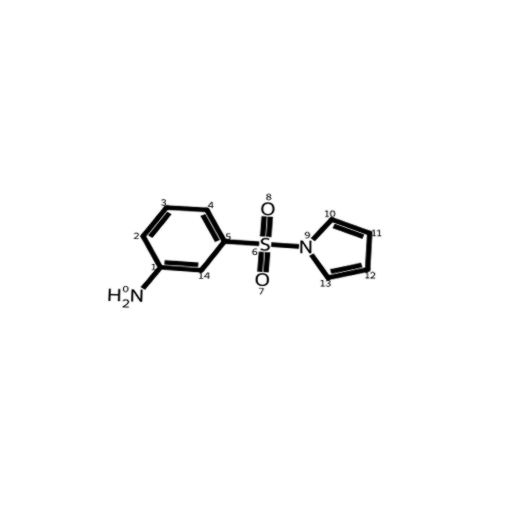 Nc1cccc(S(=O)(=O)n2cccc2)c1